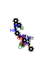 CCN(CC)CC[C@H](CSc1ccccc1)Nc1ccc(S(=O)(=O)NC(=O)c2ccc(NCCNCC3=C(c4ccc(Cl)cc4)CCCC3)cc2)cc1S(=O)(=O)C(F)(F)Cl